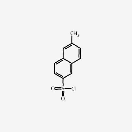 Cc1ccc2cc(S(=O)(=O)Cl)ccc2c1